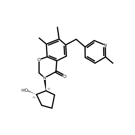 Cc1ccc(Cc2cc3c(c(C)c2C)OCN([C@H]2CCC[C@@H]2O)C3=O)cn1